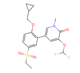 CCS(=O)(=O)c1ccc(OCC2CC2)c(-c2cc(OC(F)F)c(=O)n(C)c2)c1